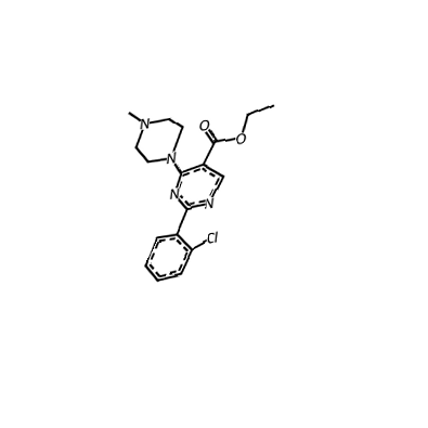 CCOC(=O)c1cnc(-c2ccccc2Cl)nc1N1CCN(C)CC1